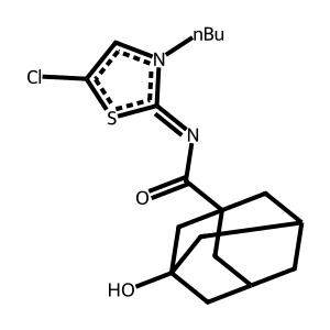 CCCCn1cc(Cl)sc1=NC(=O)C12CC3CC(CC(O)(C3)C1)C2